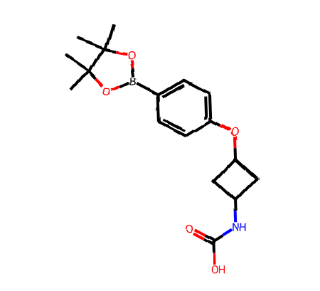 CC1(C)OB(c2ccc(OC3CC(NC(=O)O)C3)cc2)OC1(C)C